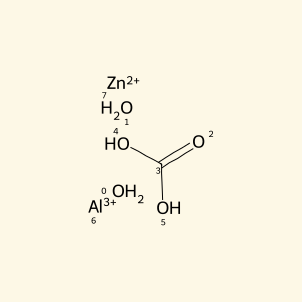 O.O.O=C(O)O.[Al+3].[Zn+2]